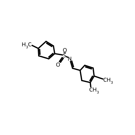 CC1=C(C)CC(/C=N/S(=O)(=O)c2ccc(C)cc2)C=C1